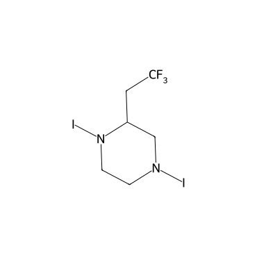 FC(F)(F)CC1CN(I)CCN1I